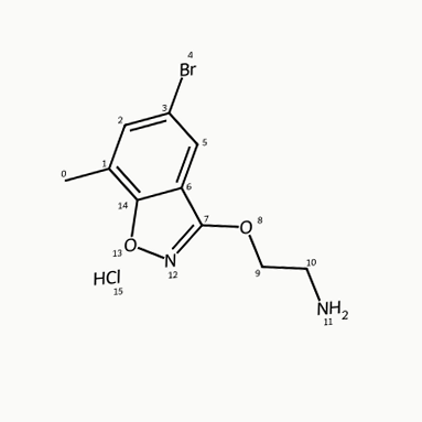 Cc1cc(Br)cc2c(OCCN)noc12.Cl